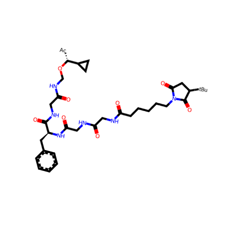 CC(=O)[C@@H](OCNC(=O)CNC(=O)[C@H](Cc1ccccc1)NC(=O)CNC(=O)CNC(=O)CCCCCN1C(=O)CC(C(C)(C)C)C1=O)C1CC1